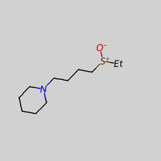 CC[S+]([O-])CCCCN1CCCCC1